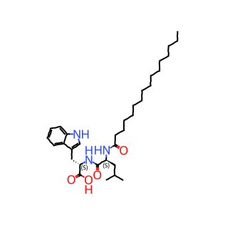 CCCCCCCCCCCCCCCC(=O)N[C@@H](CC(C)C)C(=O)N[C@@H](Cc1c[nH]c2ccccc12)C(=O)O